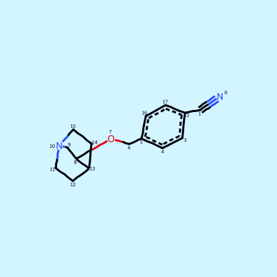 N#Cc1ccc(COC2CN3CCC2CC3)cc1